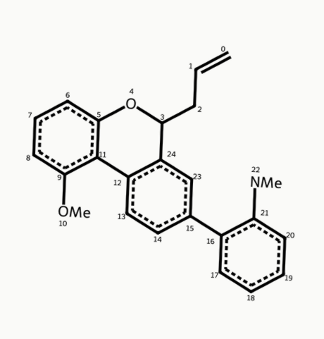 C=CCC1Oc2cccc(OC)c2-c2ccc(-c3ccccc3NC)cc21